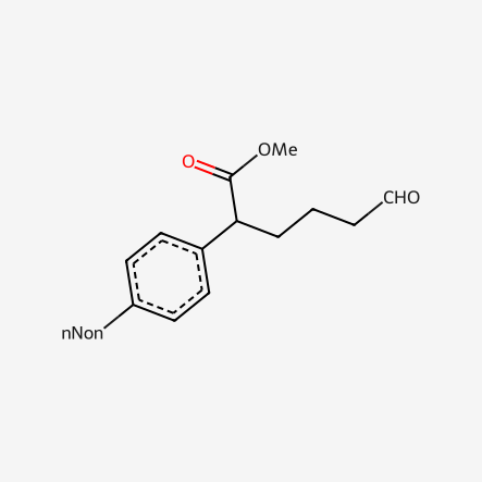 CCCCCCCCCc1ccc(C(CCCC=O)C(=O)OC)cc1